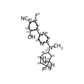 CN(c1cnc(-c2cc(F)c(C#N)cc2O)cn1)[C@@H]1CC2CC(F)(F)[C@@H](C1)N2